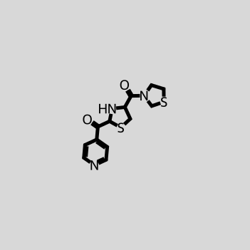 O=C(c1ccncc1)C1NC(C(=O)N2CCSC2)CS1